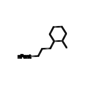 CCCCCCCCC1CCCCC1C